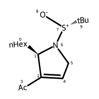 CCCCCC[C@@H]1C(C(C)=O)=CCN1[S@+]([O-])C(C)(C)C